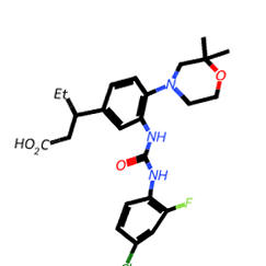 CCC(CC(=O)O)c1ccc(N2CCOC(C)(C)C2)c(NC(=O)Nc2ccc(Cl)cc2F)c1